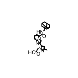 Cc1cc(-c2cn3c(C(=O)NCC45CC6CC(CC(C6)C4)C5)cccc3n2)n(CC(=O)O)n1